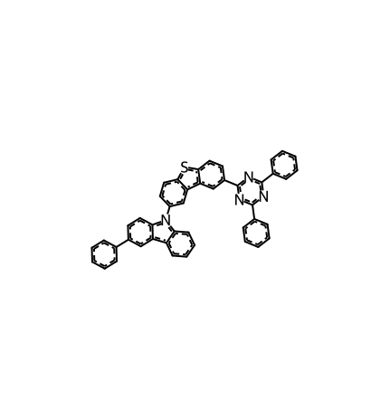 c1ccc(-c2ccc3c(c2)c2ccccc2n3-c2ccc3sc4ccc(-c5nc(-c6ccccc6)nc(-c6ccccc6)n5)cc4c3c2)cc1